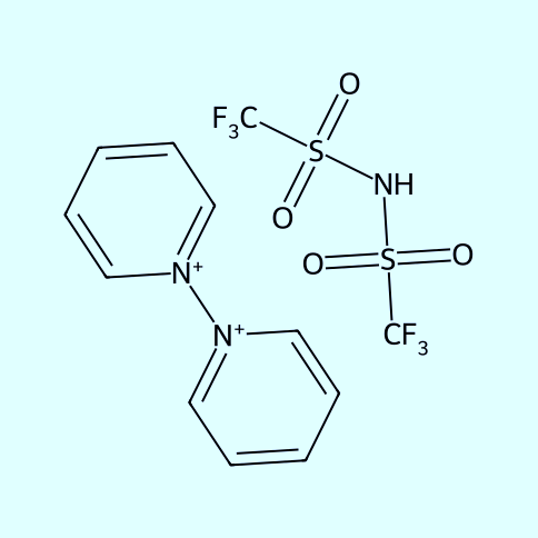 O=S(=O)(NS(=O)(=O)C(F)(F)F)C(F)(F)F.c1cc[n+](-[n+]2ccccc2)cc1